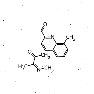 C/N=C(/C)C(C)=O.Cc1cccc2ccc(C=O)nc12